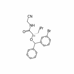 CC(C)C[C@H](OC(c1ccccc1)c1cccc(Br)c1)C(=O)NCC#N